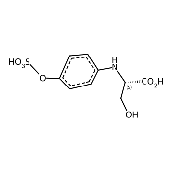 O=C(O)[C@H](CO)Nc1ccc(OS(=O)(=O)O)cc1